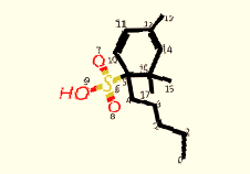 CCCCCC1(S(=O)(=O)O)C=CC(C)=CC1(C)C